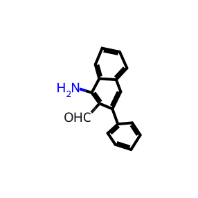 Nc1c(C=O)c(-c2ccccc2)cc2ccccc12